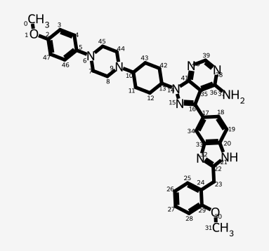 COc1ccc(N2CCN(C3CCC(n4nc(-c5ccc6[nH]c(Cc7ccccc7OC)nc6c5)c5c(N)ncnc54)CC3)CC2)cc1